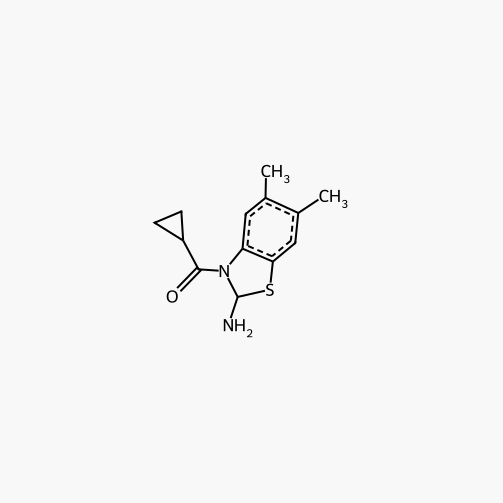 Cc1cc2c(cc1C)N(C(=O)C1CC1)C(N)S2